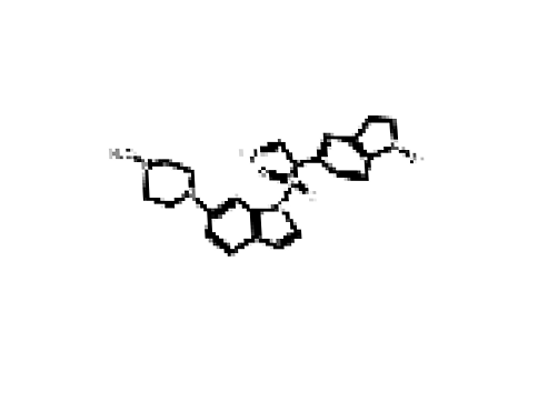 C=CC(c1ccc2c(c1)CCN2C(C)=O)S(=O)(=O)n1ccc2ccc(N3CCN(C)CC3)cc21